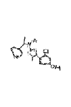 CCCN(c1nc(-c2ccc(O)cc2Cl)c(C)s1)C(C)c1ccncc1